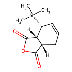 C[Si](C)(C)[C@@H]1C=CC[C@@H]2C(=O)OC(=O)[C@@H]21